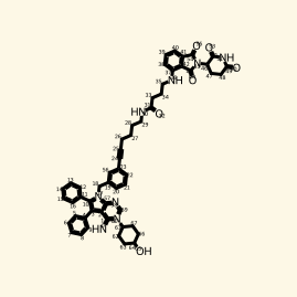 N=c1c2c(-c3ccccc3)c(-c3ccccc3)n(Cc3cccc(C#CCCCCNC(=O)CCCNc4cccc5c4C(=O)N(C4CCC(=O)NC4=O)C5=O)c3)c2ncn1C1CCC(O)CC1